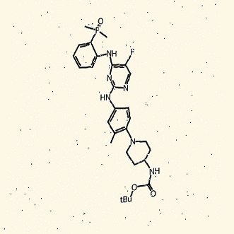 Cc1cc(Nc2ncc(F)c(Nc3ccccc3P(C)(C)=O)n2)ccc1N1CCC(NC(=O)OC(C)(C)C)CC1